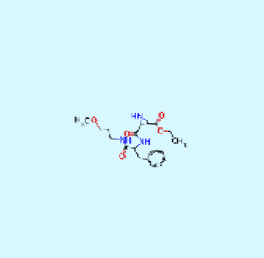 CCOC(=O)[C@@H]1N[C@@H]1C(=O)NC(Cc1ccccc1)C(=O)NCCCOC